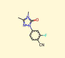 Cc1nn(-c2ccc(C#N)c(F)c2)c(=O)n1C